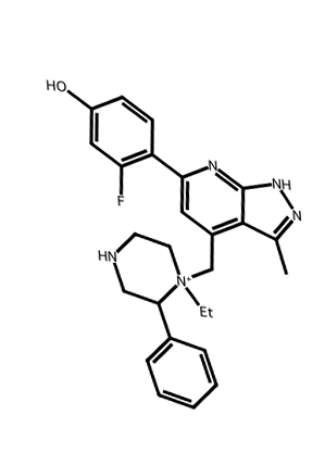 CC[N+]1(Cc2cc(-c3ccc(O)cc3F)nc3[nH]nc(C)c23)CCNCC1c1ccccc1